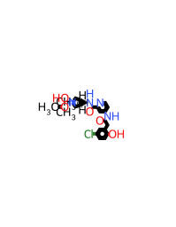 CC(C)(C)OC(O)N1C[C@@H]2[C@H](C1)[C@H]2NC(=O)c1cc(NC(=O)Cc2cc(Cl)ccc2O)ccn1